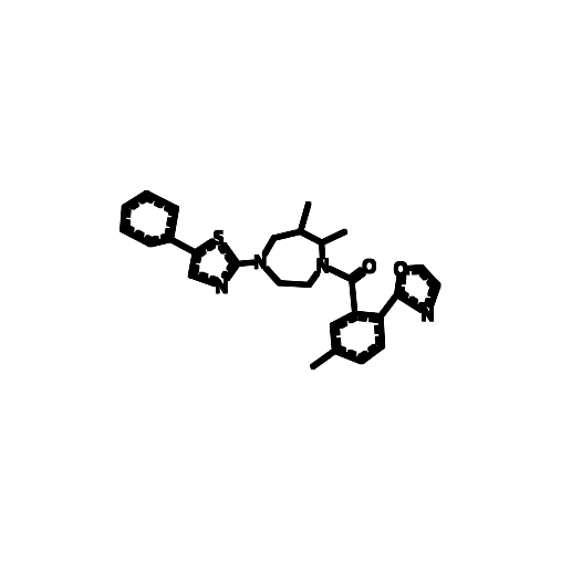 Cc1ccc(-c2ncco2)c(C(=O)N2CCN(c3ncc(-c4ccccc4)s3)CC(C)C2C)c1